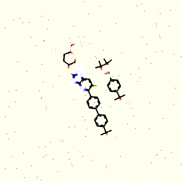 CC(C)(O)c1ccc(-c2ccc(-c3nc4nc(OC5CO[C@H](CO)[C@@H](O)C5)[nH]c4cc3Cl)cc2)cc1.CC(C)(O)c1ccc(B2OC(C)(C)C(C)(C)O2)cc1